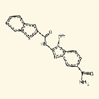 CCCn1c(NC(=O)c2cc3ccccc3s2)nc2cc(C(N)=O)ccc21